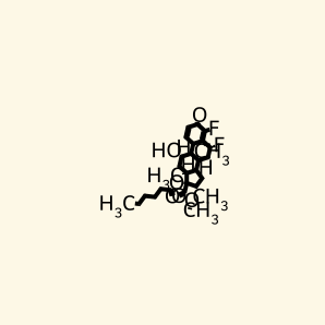 CCCCCC(=O)O[C@]1(C(=O)OC)[C@@H](C)C[C@H]2[C@@H]3C[C@H](F)C4=C(F)C(=O)C=C[C@]4(C)[C@H]3[C@@H](O)C[C@@]21C